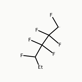 CCC(F)C(F)(F)C(F)(F)[CH]F